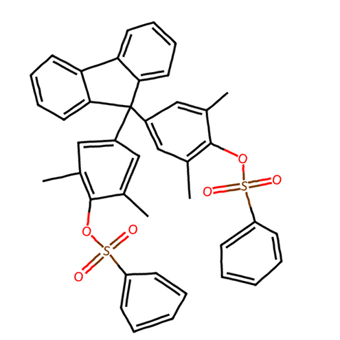 Cc1cc(C2(c3cc(C)c(OS(=O)(=O)c4ccccc4)c(C)c3)c3ccccc3-c3ccccc32)cc(C)c1OS(=O)(=O)c1ccccc1